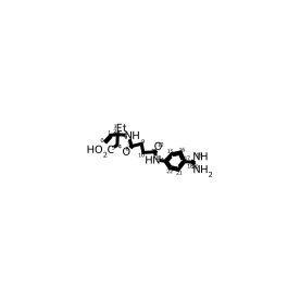 C=C[C@](CC)(CC(=O)O)NC(=O)CCC(=O)Nc1ccc(C(=N)N)cc1